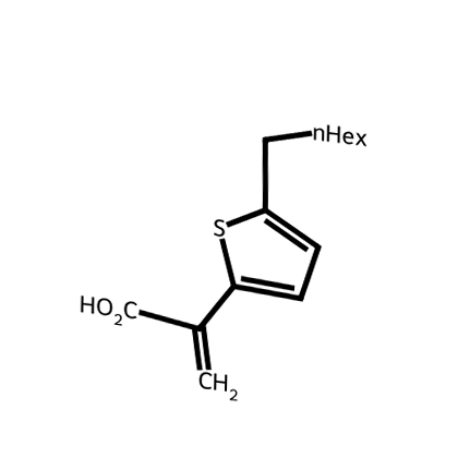 C=C(C(=O)O)c1ccc(CCCCCCC)s1